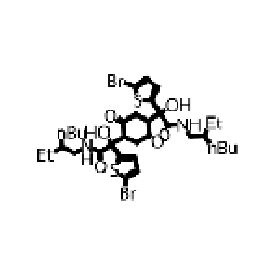 CCCCC(CC)CNC(=O)C(O)(c1ccc(Br)s1)C1CC(=O)C(C(O)(C(=O)NCC(CC)CCCC)c2ccc(Br)s2)CC1=O